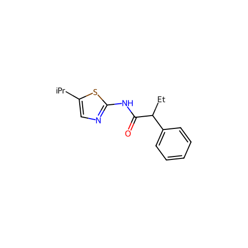 CCC(C(=O)Nc1ncc(C(C)C)s1)c1ccccc1